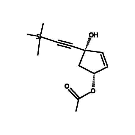 CC(=O)O[C@H]1C=C[C@](O)(C#C[Si](C)(C)C)C1